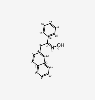 ON=C(Cc1ccc2ccccc2c1)c1ccccc1